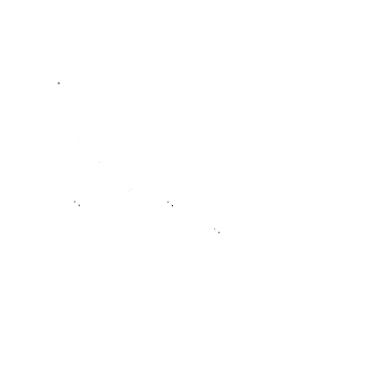 C=C(C)C1C=CN=C(C(=O)/C(C)=C/CO)/C1=C/N(C)Cc1cc(C)c(OCC2CC2)cn1